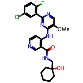 COc1cnc(-c2cc(Cl)ccc2F)nc1Nc1ccncc1C(=O)NCC1(O)CCCCC1